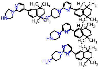 CC1(C)CCC(C)(C)c2cc(-c3cccc(N4CCC(N)CC4)n3)ccc21.CC1(C)CCC(C)(C)c2cc(-c3cccc(N4CCNCC4)n3)ccc21.CC1(C)CCC(C)(C)c2cc(-c3ccnc(N4CCC(N)CC4)n3)ccc21.CC1(C)CCC(C)(C)c2cc(-c3ccnc(N4CCNCC4)c3)ccc21